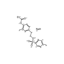 CCC(=O)Oc1ccc(CCOS(=O)(=O)c2ccc(C)cc2)cc1C.[NaH]